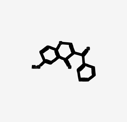 COc1ccc2occ(C(=O)c3ccccc3)c(=O)c2c1